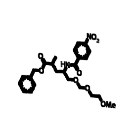 COCCOCOCC(CC(C)C(=O)OCc1ccccc1)NC(=O)c1ccc([N+](=O)[O-])cc1